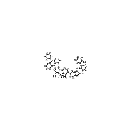 CC1(C)c2ccc(-c3c4ccccc4c(-c4ccccc4)c4ccccc34)cc2-c2ccc(-c3ccc4sc5cc6ccc7oc8ccccc8c7c6cc5c4c3)cc21